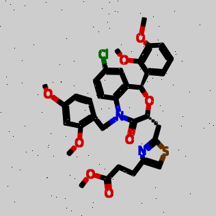 COC(=O)CCc1csc(C[C@H]2O[C@H](c3cccc(OC)c3OC)c3cc(Cl)ccc3N(Cc3ccc(OC)cc3OC)C2=O)n1